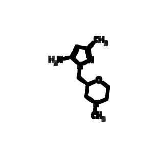 Cc1cc(N)n(C[C@@H]2CN(C)CCO2)n1